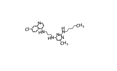 CCCCCNc1nc(C)cc(NCCCNc2ccnc3cc(Cl)ccc23)n1